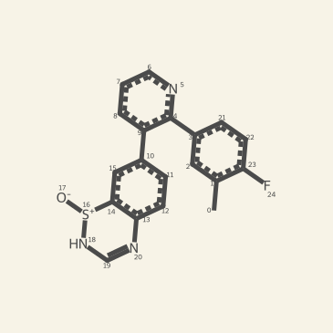 Cc1cc(-c2ncccc2-c2ccc3c(c2)[S+]([O-])NC=N3)ccc1F